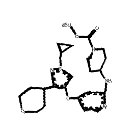 CC(C)(C)OC(=O)N1CCC(Nc2cc(Oc3cn(C4CC4)nc3C3CCOCC3)ccn2)CC1